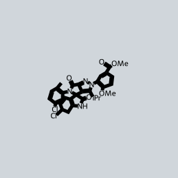 COC(=O)c1ccc(OC)c(-n2nc3c(c2C(C)C)C2(C(=O)NC4=C2C=CC(Cl)C4)N(c2cc(Cl)ccc2C)C3=O)c1